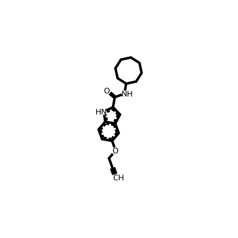 C#CCOc1ccc2[nH]c(C(=O)NC3CCCCCCC3)cc2c1